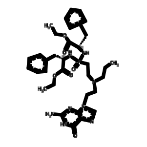 CCCN(CCn1cnc2c(=O)[nH]c(N)nc21)CCP(=O)(N[C@@H](Cc1ccccc1)C(=O)OCC)N[C@@H](Cc1ccccc1)C(=O)OCC